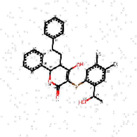 CCc1cc(SC2=C(O)C(CCc3ccccc3)C(c3ccccc3)OC2=O)c(C(C)O)cc1CC